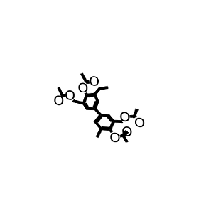 CCc1cc(-c2cc(C)c(OC(C)=O)c(COC(C)=O)c2)cc(COC(C)=O)c1OC(C)=O